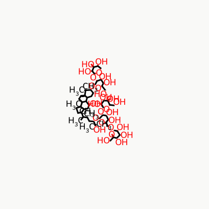 CC(CCC(OC1OC(COC2OC(CO)C(O)C(O)C2O)C(O)C(O)C1OC1OC(CO)C(O)C(O)C1O)C(C)(C)O)C1CCC2(C)C1(C)CC(O)C1C3CCC(OC4OC(CO)C(O)C(O)C4OC4OCC(O)C(O)C4O)C(C)(C)C3=CCC12C